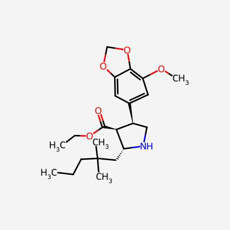 CCCC(C)(C)C[C@H]1NC[C@H](c2cc(OC)c3c(c2)OCO3)[C@@H]1C(=O)OCC